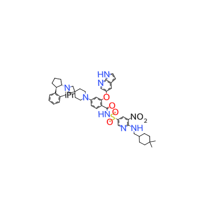 CC(C)c1ccccc1[C@H]1CCC[C@@H]1N1CC2(CCN(c3ccc(C(=O)NS(=O)(=O)c4cnc(NCC5CCC(C)(C)CC5)c([N+](=O)[O-])c4)c(Oc4cnc5[nH]ccc5c4)c3)CC2)C1